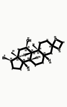 CC[C@H]1CC[C@H]2[C@@H]3CC[C@H]4CC5(CC[C@]4(C)[C@H]3[C@@H](O)C[C@]12C)OCO5